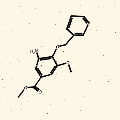 COC(=O)c1cc(N)c(OCc2ccccc2)c(OC)c1